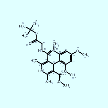 COC(=O)C1=C(C)NC(C)=C(C(=O)NCC(=O)OC(C)(C)C)C1c1c(OC)cc(OC)cc1OC